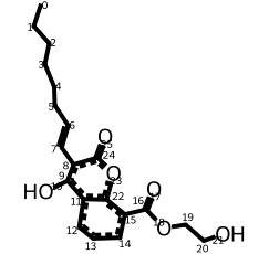 CCCCCCC=Cc1c(O)c2cccc(C(=O)OCCO)c2oc1=O